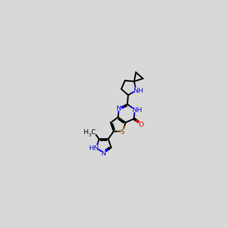 Cc1[nH]ncc1-c1cc2nc(C3CCC4(CC4)N3)[nH]c(=O)c2s1